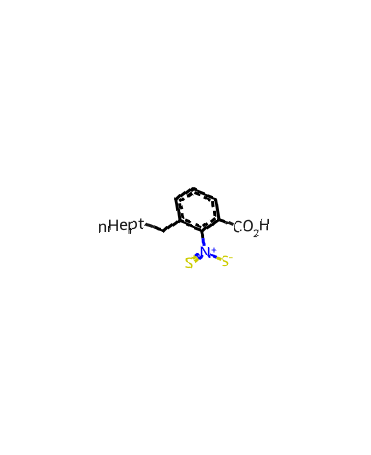 CCCCCCCCc1cccc(C(=O)O)c1[N+](=S)[S-]